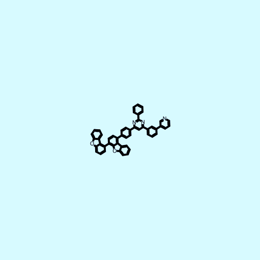 c1ccc(-c2nc(-c3ccc(-c4ccc(-c5cccc6oc7ccccc7c56)c5oc6ccccc6c45)cc3)cc(-c3cccc(-c4cccnc4)c3)n2)cc1